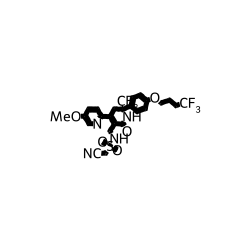 COc1ccc(C2=C(CNS(=O)(=O)CC#N)C(=O)N[C@@](c3ccc(OCCCC(F)(F)F)cc3)(C(F)(F)F)C2)nc1